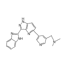 CN(C)Cc1cncc(-c2ccc3[nH]nc(-c4nc5ccccc5[nH]4)c3n2)c1